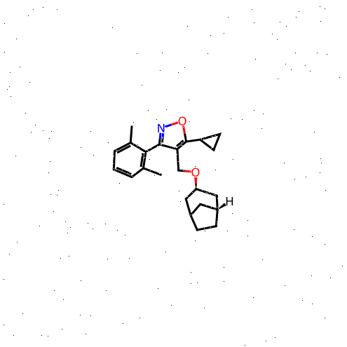 Cc1cccc(C)c1-c1noc(C2CC2)c1CO[C@@H]1CC2CC[C@H](C2)C1